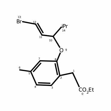 CCOC(=O)Cc1ccc(C)cc1OC(/C=C/Br)C(C)C